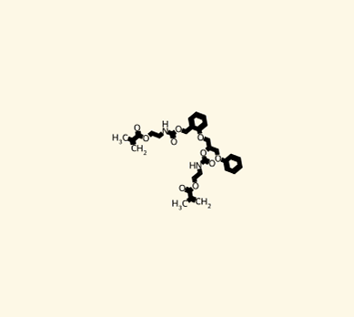 C=C(C)C(=O)OCCNC(=O)OCc1ccccc1OCC(COc1ccccc1)OC(=O)NCCOC(=O)C(=C)C